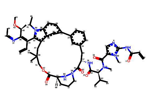 C=CC(=O)Nc1ncc(C(=O)N(C)[C@H](C(=O)N[C@H]2Cc3cccc(c3)-c3ccc4c(c3)c(c(/C(C=C)=C(/N=C\C)[C@H](C)OC)n4CC)CC(C)(C)COC(=O)[C@@H]3CCCN(N3)C2=O)C(C)C)n1C